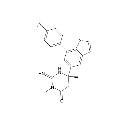 CN1C(=N)N[C@](C)(c2cc(-c3ccc(N)cc3)c3sccc3c2)CC1=O